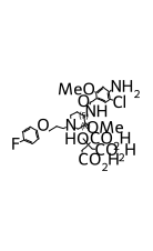 COc1cc(N)c(Cl)cc1C(=O)N[C@H]1CCN(CCCOc2ccc(F)cc2)C[C@H]1OC.O=C(O)CC(O)(CC(=O)O)C(=O)O